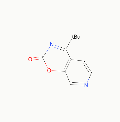 CC(C)(C)c1nc(=O)oc2cnccc12